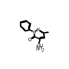 Cc1cc(N)c(=O)n(-c2ccccc2)n1